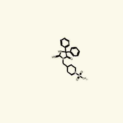 CS(=O)(=O)N1CCC(CN2C(=N)NC(c3ccccc3)(c3ccccc3)C2=O)CC1